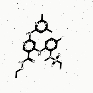 CCONC(=O)c1cnc(Nc2cc(C)nc(C)n2)cc1Nc1ccc(Cl)cc1N(C)S(=O)(=O)CC